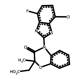 CC1(CC(=O)O)Oc2ccccc2N(c2nc3c(F)ccc(Cl)c3s2)C1=O